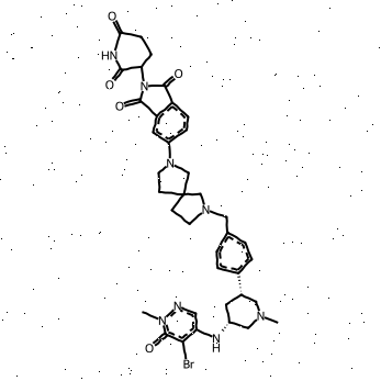 CN1C[C@H](Nc2cnn(C)c(=O)c2Br)C[C@H](c2ccc(CN3CCC4(CCN(c5ccc6c(c5)C(=O)N(C5CCC(=O)NC5=O)C6=O)C4)C3)cc2)C1